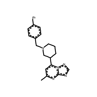 Cc1cc(C2CCCN(Cc3ccc(C(C)C)cc3)C2)n2ncnc2n1